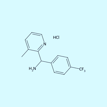 Cc1cccnc1C(N)c1ccc(C(F)(F)F)cc1.Cl